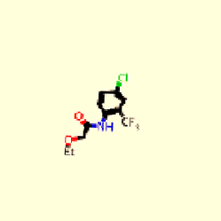 CCOCC(=O)Nc1ccc(Cl)cc1C(F)(F)F